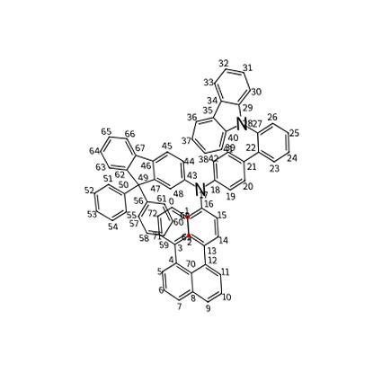 c1ccc(-c2cccc3cccc(-c4ccc(N(c5ccc(-c6ccccc6-n6c7ccccc7c7ccccc76)cc5)c5ccc6c(c5)C(c5ccccc5)(c5ccccc5)c5ccccc5-6)cc4)c23)cc1